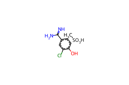 CS(=O)(=O)O.N=C(N)c1ccc(O)c(Cl)c1